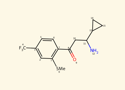 CSc1cc(C(F)(F)F)ccc1C(=O)CC(N)C1CC1